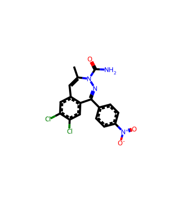 CC1=Cc2cc(Cl)c(Cl)cc2C(c2ccc([N+](=O)[O-])cc2)=NN1C(N)=O